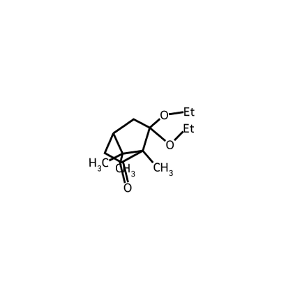 CCOC1(OCC)CC2CC(=O)C1(C)C2(C)C